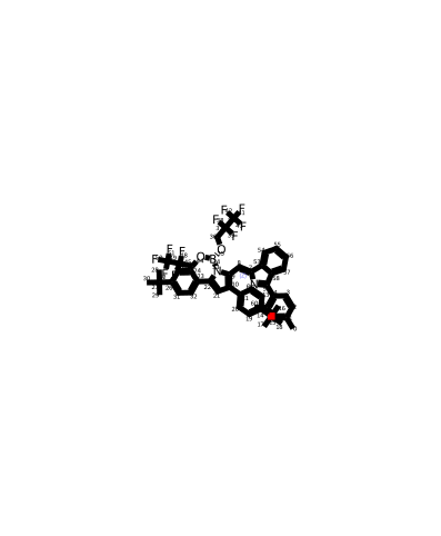 Cc1ccc(C2=N/C(=C\c3c(-c4ccc(C(C)(C)C)cc4)cc(-c4ccc(C(C)(C)C)cc4)n3B(OCC(F)(F)C(F)(F)F)OCC(F)(F)C(F)(F)F)c3ccccc32)c(C)c1